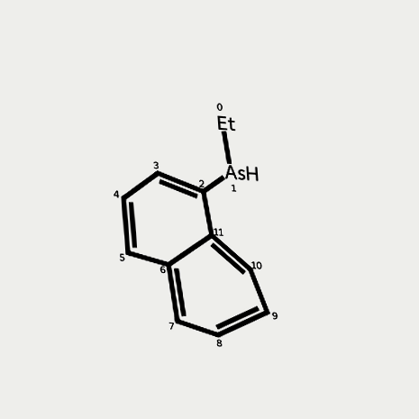 CC[AsH]c1cccc2ccccc12